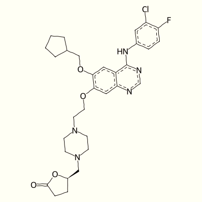 O=C1CC[C@H](CN2CCN(CCOc3cc4ncnc(Nc5ccc(F)c(Cl)c5)c4cc3OCC3CCCC3)CC2)O1